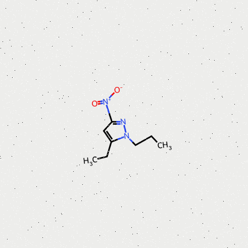 CCCn1nc([N+](=O)[O-])cc1CC